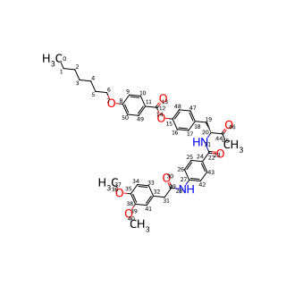 CCCCCCCOc1ccc(C(=O)Oc2ccc(C[C@H](NC(=O)c3ccc(NC(=O)Cc4ccc(OC)c(OC)c4)cc3)C(C)=O)cc2)cc1